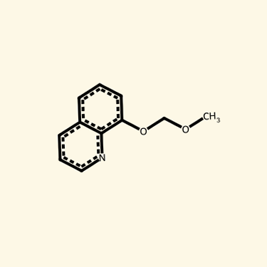 COCOc1cccc2cccnc12